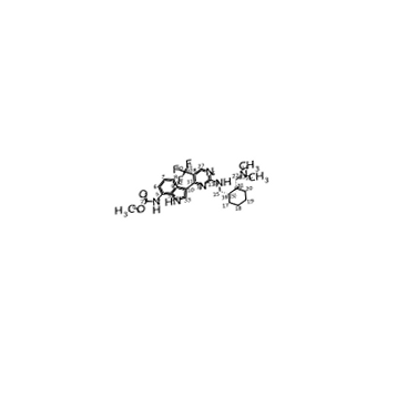 COC(=O)Nc1cccc2c(-c3nc(NC[C@H]4CCCC[C@H]4CN(C)C)ncc3C(F)(F)F)c[nH]c12